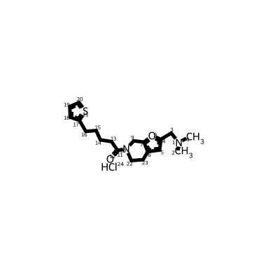 CN(C)Cc1cc2c(o1)CN(C(=O)CCCCc1cccs1)CC2.Cl